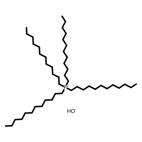 CCCCCCCCCCCC[P+](CCCCCCCCCCCC)(CCCCCCCCCCCC)CCCCCCCCCCCC.[OH-]